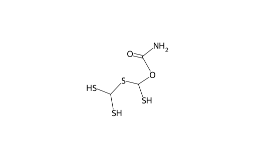 NC(=O)OC(S)SC(S)S